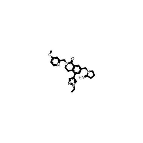 CCn1cc(-c2cc(CN3CCCC3=N)cc3c2CCN(Cc2cc(OC)ccn2)C3=O)cn1